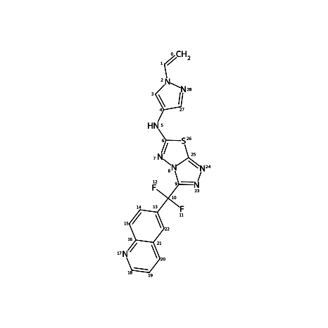 C=Cn1cc(Nc2nn3c(C(F)(F)c4ccc5ncccc5c4)nnc3s2)cn1